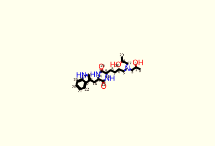 CC(O)CN(CCCCC1NC(=O)C(Cc2c[nH]c3ccccc23)NC1=O)CC(C)O